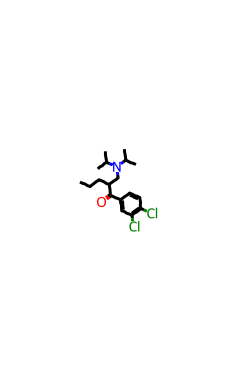 CCCC(CN(C(C)C)C(C)C)C(=O)c1ccc(Cl)c(Cl)c1